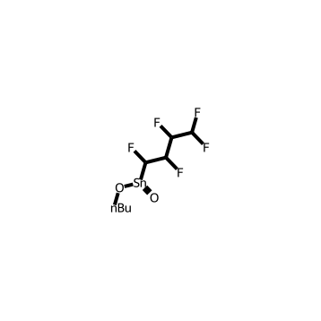 CCCC[O][Sn](=[O])[CH](F)C(F)C(F)C(F)F